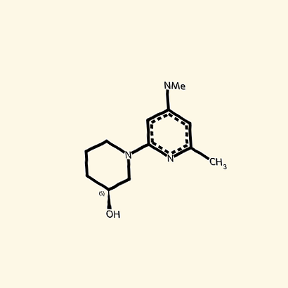 CNc1cc(C)nc(N2CCC[C@H](O)C2)c1